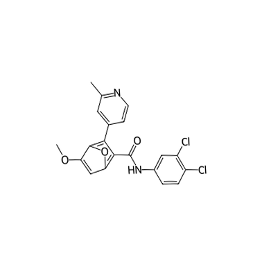 COc1cc2oc1c(-c1ccnc(C)c1)c2C(=O)Nc1ccc(Cl)c(Cl)c1